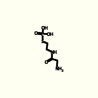 NCC(=O)NCCSP(=O)(O)O